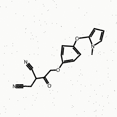 Cn1cccc1Oc1ccc(OCC(=O)C(C#N)CC#N)cc1